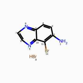 Br.Nc1ccc2nccnc2c1Br